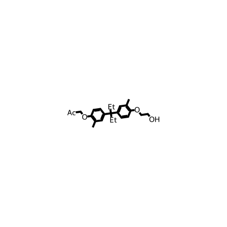 CCC(CC)(c1ccc(OCCO)c(C)c1)c1ccc(OCC(C)=O)c(C)c1